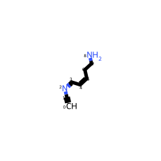 C#C/N=C\C=C/CCN